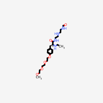 CCN[C@@H](Cc1ccc(OCCOCCOCCOC)cc1)C(=O)NCCNCCNC=O